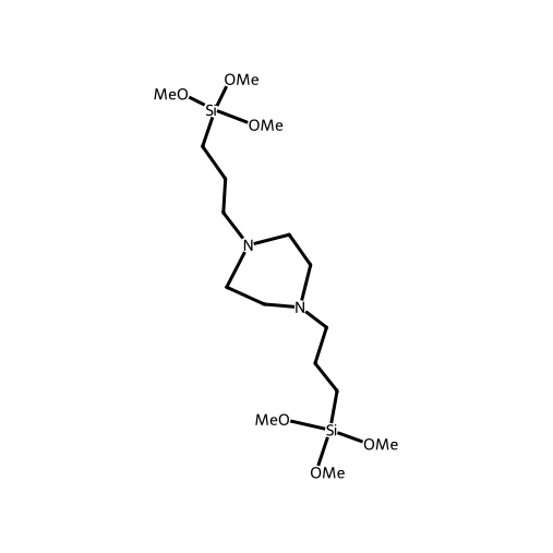 CO[Si](CCCN1CCN(CCC[Si](OC)(OC)OC)CC1)(OC)OC